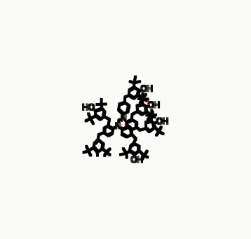 Cc1c(C(C)(C)C)cc(Cc2ccc(N(CN(c3ccc(Cc4cc(C(C)(C)C)c(O)c(C(C)(C)C)c4)cc3)c3ccc(Cc4cc(C(C)(C)C)c(O)c(C(C)(C)C)c4)cc3Cc3cc(C(C)(C)C)c(O)c(C(C)(C)C)c3)c3ccc(Cc4cc(C(C)(C)C)c(O)c(C(C)(C)C)c4)cc3)c(Cc3cc(C(C)(C)C)c(O)c(C(C)(C)C)c3)c2)cc1C(C)(C)C